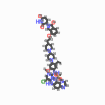 CCc1cc(Nc2ncc(Cl)c(Nc3ccc4nccnc4c3NS(C)(=O)=O)n2)c(OC)cc1N1CCC(N2CCC(CCOc3cccc4c3CN(C3CCC(=O)NC3=O)C4=O)CC2)CC1